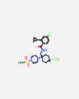 CCCS(=O)(=O)N1CCN(C2(CNC(=O)c3ccc(Cl)cc3C3CC3)CCC(F)(F)CC2)CC1.Cl